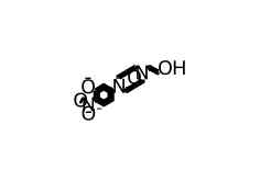 COc1cc(N2CC3CN(CCO)CC(C2)O3)ccc1[N+](=O)[O-]